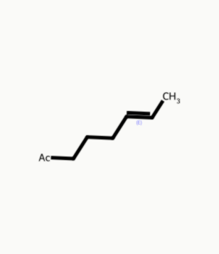 C/C=C/CCCC(C)=O